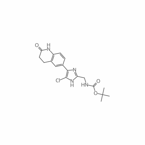 CC(C)(C)OC(=O)NCc1nc(-c2ccc3c(c2)CCC(=O)N3)c(Cl)[nH]1